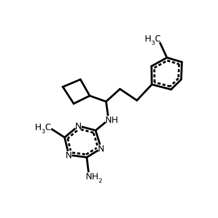 Cc1cccc(CCC(Nc2nc(C)nc(N)n2)C2CCC2)c1